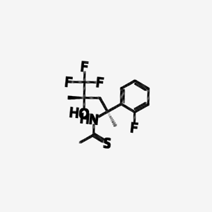 CC(=S)N[C@@](C)(C[C@](C)(O)C(F)(F)F)c1ccccc1F